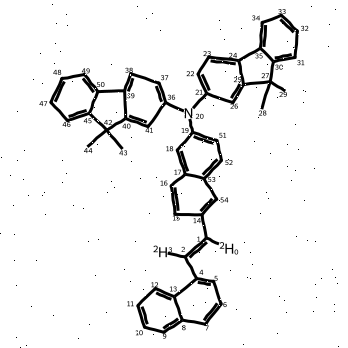 [2H]/C(=C(/[2H])c1cccc2ccccc12)c1ccc2cc(N(c3ccc4c(c3)C(C)(C)c3ccccc3-4)c3ccc4c(c3)C(C)(C)c3ccccc3-4)ccc2c1